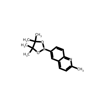 Cc1ccc2cc(B3OC(C)(C)C(C)(C)O3)ccc2n1